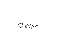 CCCC(C)(C)C(C)(C)CB(C)c1cccc(C)c1